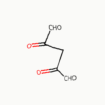 O=CC(=O)CC(=O)C=O